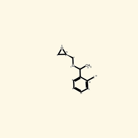 CC(OC[C@H]1CO1)c1ccccc1I